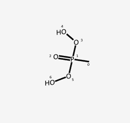 CP(=O)(OO)OO